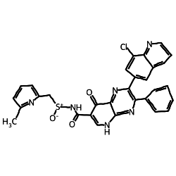 Cc1cccc(C[S+]([O-])NC(=O)c2c[nH]c3nc(-c4ccccc4)c(-c4cc(Cl)c5ncccc5c4)nc3c2=O)n1